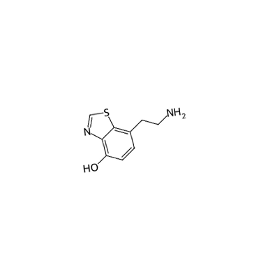 NCCc1ccc(O)c2ncsc12